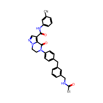 CCC(=O)NCc1cccc(Cc2ccc(N3CCn4ncc(C(=O)Nc5cccc(C#N)c5)c4C3=O)cc2)c1